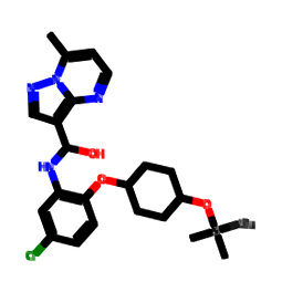 Cc1ccnc2c(C(O)Nc3cc(Cl)ccc3OC3CCC(O[Si](C)(C)C(C)(C)C)CC3)cnn12